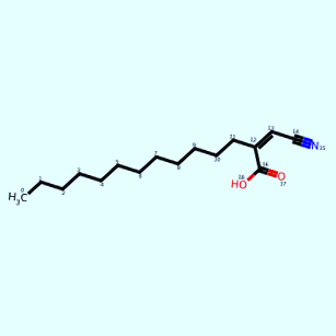 CCCCCCCCCCCC/C(=C/C#N)C(=O)O